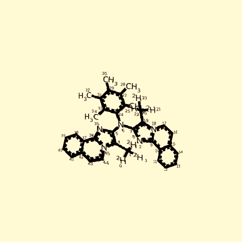 [2H]C([2H])([2H])c1c(N(c2nc3c4ccccc4ccn3c2C([2H])([2H])[2H])c2c(C)c(C)c(C)c(C)c2C)nc2c3ccccc3ccn12